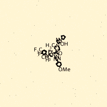 CCc1c(N2CCN(c3cnn(C4CCCC4)c3O)[C@H](C)C2)c(=O)n2nc(C3=CCC(OC)CC3)nc2n1CC(=O)Nc1ccc(C(F)(F)F)c(F)c1C